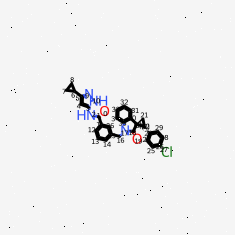 O=C(Nc1cc(C2CC2)n[nH]1)c1cccc(CN2C(=O)[C@]3(C[C@@H]3c3ccc(Cl)cc3)c3ccccc32)c1